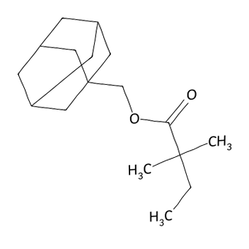 CCC(C)(C)C(=O)OCC12CC3CC(CC(C3)C1)C2